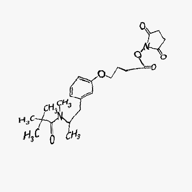 CC(Cc1cccc(OCCCC(=O)ON2C(=O)CCC2=O)c1)N(C)C(=O)C(C)(C)C